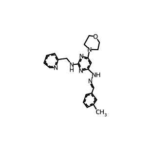 Cc1cccc(/C=N/Nc2cc(N3CCOCC3)nc(NCc3ccccn3)n2)c1